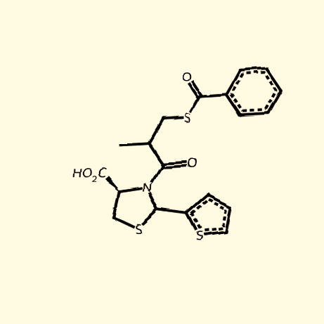 CC(CSC(=O)c1ccccc1)C(=O)N1C(c2cccs2)SC[C@H]1C(=O)O